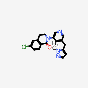 Cn1nccc1Cc1cncc(N2CCc3cc(Cl)ccc3C2=O)c1